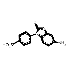 Nc1ccc2c(c1)[nH]c(=O)n2-c1ccc(S(=O)(=O)O)cc1